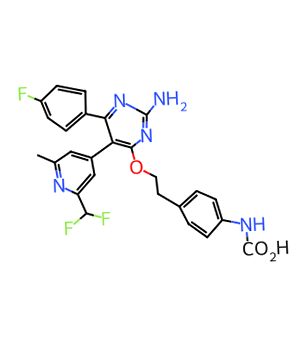 Cc1cc(-c2c(OCCc3ccc(NC(=O)O)cc3)nc(N)nc2-c2ccc(F)cc2)cc(C(F)F)n1